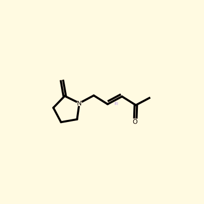 C=C1CCCN1C/C=C/C(C)=O